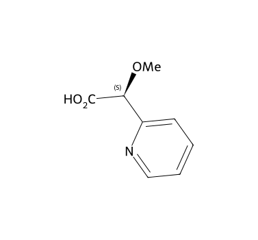 CO[C@H](C(=O)O)c1ccccn1